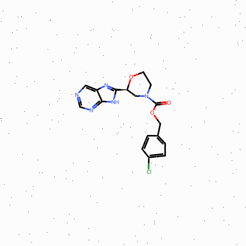 O=C(OCc1ccc(Cl)cc1)N1CCO[C@H](c2nc3cncnc3[nH]2)C1